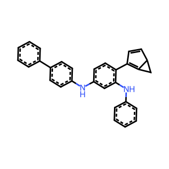 C1=CC2CC2=C1c1ccc(Nc2ccc(-c3ccccc3)cc2)cc1Nc1ccccc1